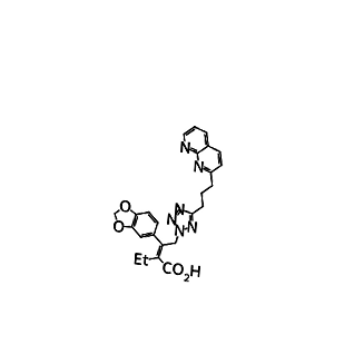 CCC(C(=O)O)=C(Cn1nnc(CCCc2ccc3cccnc3n2)n1)c1ccc2c(c1)OCO2